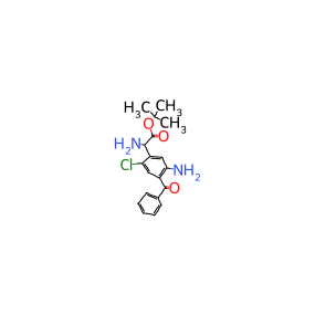 CC(C)(C)OC(=O)C(N)c1cc(N)c(C(=O)c2ccccc2)cc1Cl